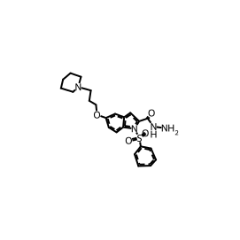 NNC(=O)c1cc2cc(OCCCN3CCCCC3)ccc2n1S(=O)(=O)c1ccccc1